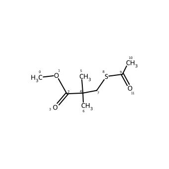 COC(=O)C(C)(C)CSC(C)=O